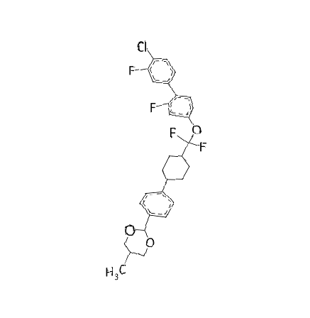 CC1COC(c2ccc(C3CCC(C(F)(F)Oc4ccc(-c5ccc(Cl)c(F)c5)c(F)c4)CC3)cc2)OC1